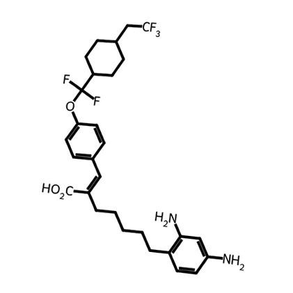 Nc1ccc(CCCCCC(=Cc2ccc(OC(F)(F)C3CCC(CC(F)(F)F)CC3)cc2)C(=O)O)c(N)c1